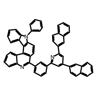 c1ccc(-n2c3ccccc3c3c4c(ccc32)c(-c2cccc(-c3cc(-c5ccc6ccccc6c5)cc(-c5ccc6ccccc6c5)n3)c2)nc2ccccc24)cc1